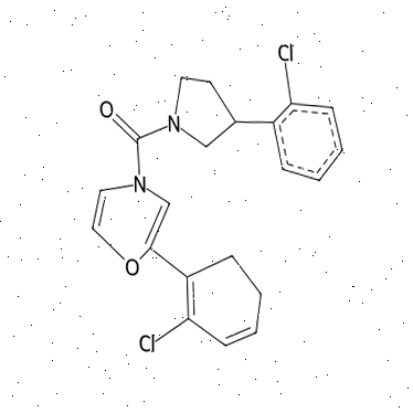 O=C(N1C=COC(C2=C(Cl)C=CCC2)=C1)N1CCC(c2ccccc2Cl)C1